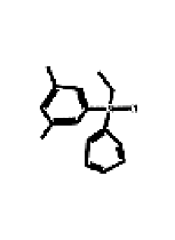 CC[Si](Cl)(c1ccccc1)c1cc(C)cc(C)c1